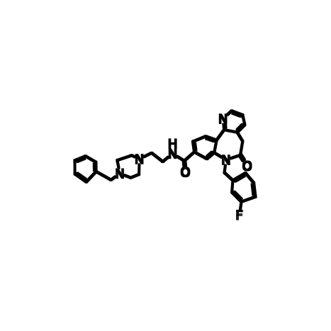 O=C(NCCN1CCN(Cc2ccccc2)CC1)c1ccc2c(c1)N(Cc1cccc(F)c1)C(=O)Cc1cccnc1-2